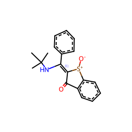 CC(C)(C)N/C(=C1\C(=O)c2ccccc2[S+]1[O-])c1ccccc1